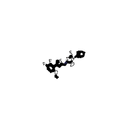 CCOc1ccc(F)c(F)c1-c1csc(/C=C2\SC(=S)N(C3CC4CCC3C4)C2=O)c1